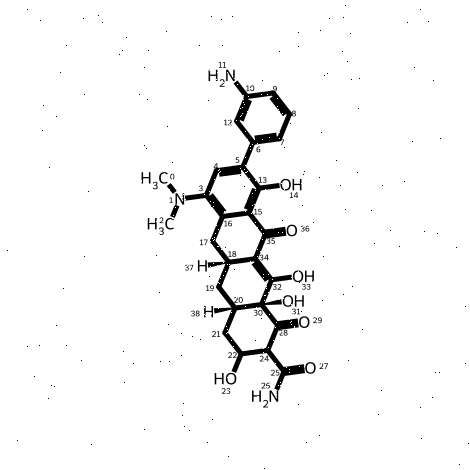 CN(C)c1cc(-c2cccc(N)c2)c(O)c2c1C[C@H]1C[C@H]3CC(O)C(C(N)=O)C(=O)[C@@]3(O)C(O)=C1C2=O